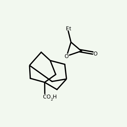 CCC1OC1=O.O=C(O)C12CC3CC(CC(C3)C1)C2